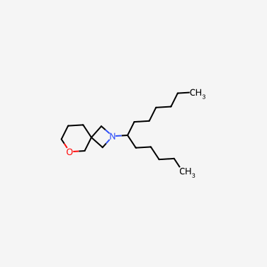 CCCCCCC(CCCCC)N1CC2(CCCOC2)C1